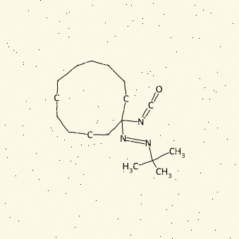 CC(C)(C)/N=N/C1(N=C=O)CCCCCCCCCCC1